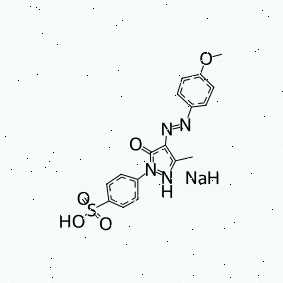 COc1ccc(/N=N/c2c(C)[nH]n(-c3ccc(S(=O)(=O)O)cc3)c2=O)cc1.[NaH]